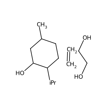 C=C.CC1CCC(C(C)C)C(O)C1.OCCO